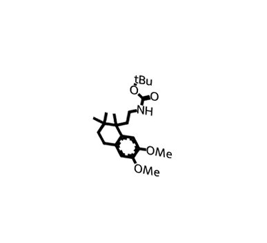 COc1cc2c(cc1OC)C(C)(CCNC(=O)OC(C)(C)C)C(C)(C)CC2